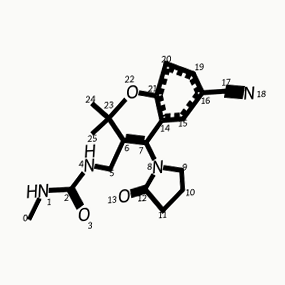 CNC(=O)NCC1=C(N2CCCC2=O)c2cc(C#N)ccc2OC1(C)C